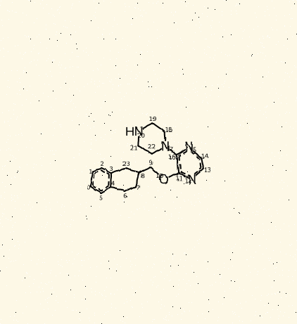 c1ccc2c(c1)CCC(COc1nccnc1N1CCNCC1)C2